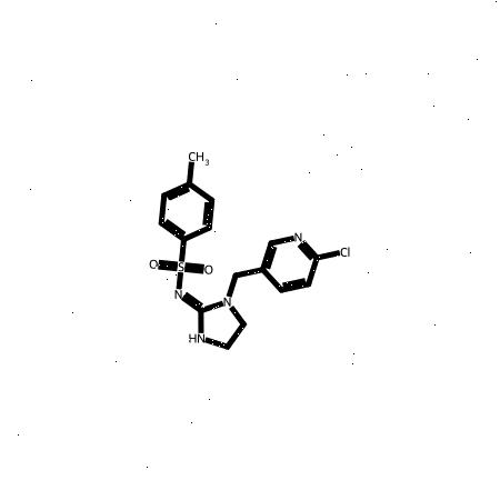 Cc1ccc(S(=O)(=O)/N=C2/NCCN2Cc2ccc(Cl)nc2)cc1